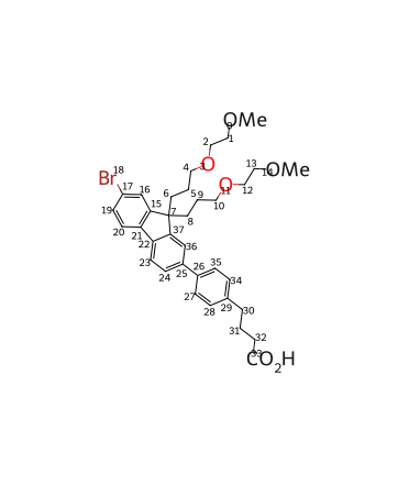 COCCOCCCC1(CCCOCCOC)c2cc(Br)ccc2-c2ccc(-c3ccc(CCCC(=O)O)cc3)cc21